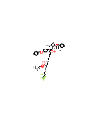 CCOC(=O)C(CCCCCC=CC[C@]1(O)C[C@@]2(C)C(CC[C@@H]2OCc2ccccc2)C2CCc3cc(OCc4ccccc4)ccc3C21)CCCCCC(F)(F)C(F)(F)F